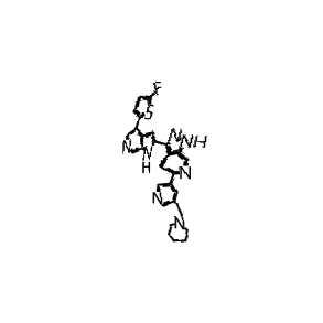 Fc1ccc(-c2cncc3[nH]c(-c4n[nH]c5cnc(-c6cncc(CN7CCCCC7)c6)cc45)cc23)s1